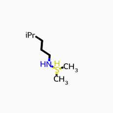 CC(C)CCCN[SH](C)C